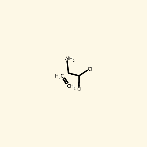 C=C.[AlH2][CH2]C(Cl)Cl